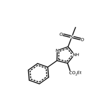 CCOC(=O)c1[nH]c(S(C)(=O)=O)nc1-c1ccccc1